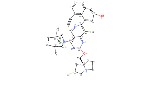 C#Cc1cccc2cc(O)cc(-c3ncc4c(N5C[C@H]6CC[C@@H](C5)C6(F)F)nc(OC[C@@]56CCCN5C[C@H](F)C6)nc4c3F)c12